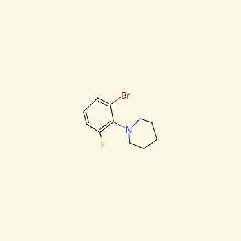 Fc1cccc(Br)c1N1CCCCC1